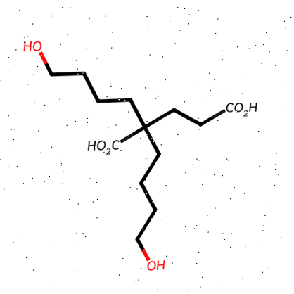 O=C(O)CCC(CCCCO)(CCCCO)C(=O)O